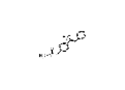 COC(=O)Cc1ccc(/C(C)=C/c2ccccc2)cc1